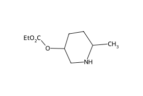 CCOC(=O)OC1CCC(C)NC1